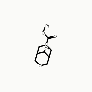 CC(C)OC(=O)N1CC2COCC(C1)C2O